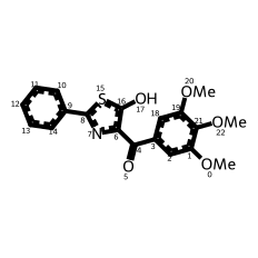 COc1cc(C(=O)c2nc(-c3ccccc3)sc2O)cc(OC)c1OC